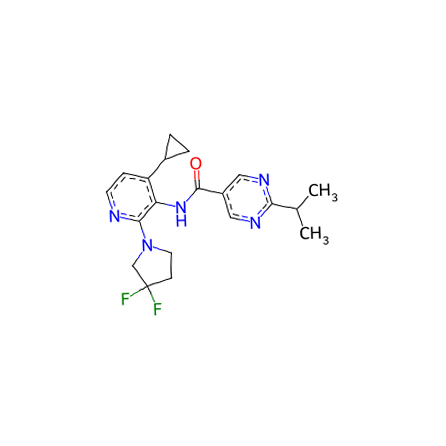 CC(C)c1ncc(C(=O)Nc2c(C3CC3)ccnc2N2CCC(F)(F)C2)cn1